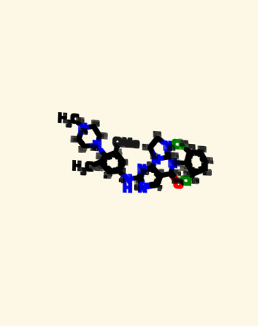 COc1cc(Nc2ncc3c(n2)N2CCN=C2N(c2c(Cl)cccc2Cl)C3=O)cc(C)c1N1CCN(C)CC1